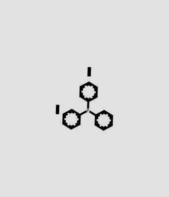 C=C.C=C.c1ccc(P(c2ccccc2)c2ccccc2)cc1